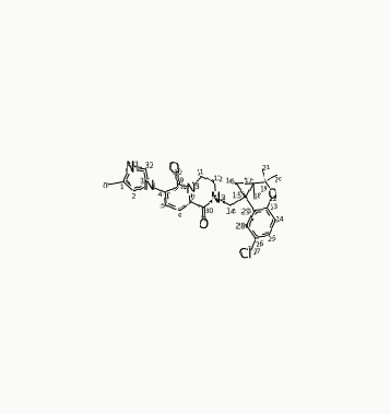 Cc1cn(-c2ccc3n(c2=O)CCN(CC24CC2(C)C(C)(C)Oc2ccc(Cl)cc24)C3=O)cn1